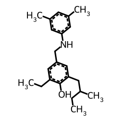 CCc1cc(CNc2cc(C)cc(C)c2)cc(CC(C)CC)c1O